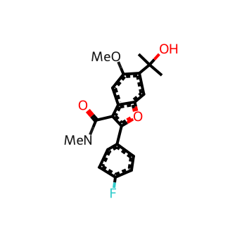 CNC(=O)c1c(-c2ccc(F)cc2)oc2cc(C(C)(C)O)c(OC)cc12